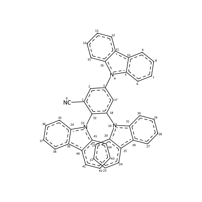 N#Cc1cc(-n2c3ccccc3c3ccccc32)cc(-n2c3ccccc3c3ccccc32)c1-n1c2ccccc2c2ccccc21